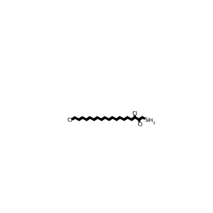 [SiH3]CC(Cl)C(Cl)CCCCCCCCCCCCCCCCCl